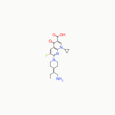 CCC(CN)=C1CCN(c2nc3c(cc2F)c(=O)c(C(=O)O)cn3C2CC2)CC1